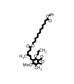 [CH2]C([CH2])OC(=O)CCCCCCCCCCCOC(=O)CC/C(C)=C/Cc1c(OC)c(C)c2c(c1OCC=C)C(=O)OC2